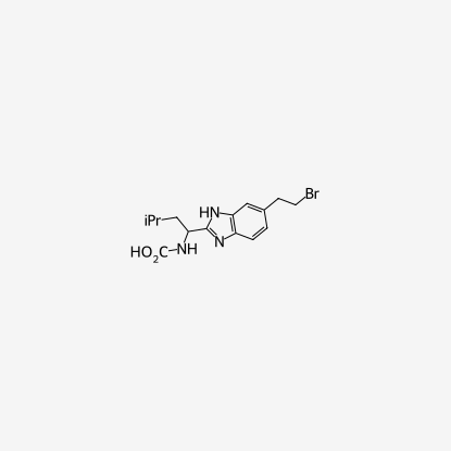 CC(C)CC(NC(=O)O)c1nc2ccc(CCBr)cc2[nH]1